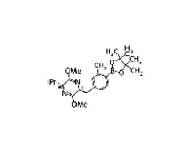 COC1=N[C@H](C(C)C)C(OC)=N[C@H]1Cc1ccc(B2OC(C)(C)C(C)(C)O2)c(C)c1